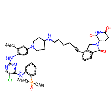 COc1cc(N2CCC(NCCCCC#Cc3cccc4c3CN(C3CCC(=O)NC3=O)C4=O)CC2)ccc1Nc1ncc(Cl)c(Nc2ccccc2P(=O)(OC)OC)n1